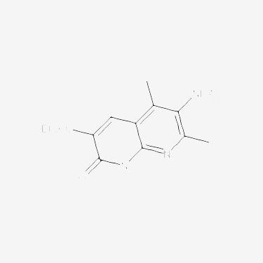 CCOC(=O)c1cc2c(C)c(NC(C)=O)c(C)nc2[nH]c1=O